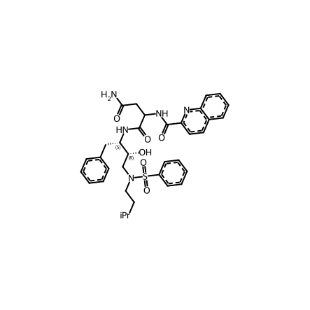 CC(C)CCN(C[C@@H](O)[C@H](Cc1ccccc1)NC(=O)C(CC(N)=O)NC(=O)c1ccc2ccccc2n1)S(=O)(=O)c1ccccc1